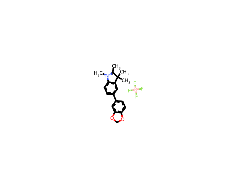 CC1=[N+](C)c2ccc(-c3ccc4c(c3)OCO4)cc2C1(C)C.F[B-](F)(F)F